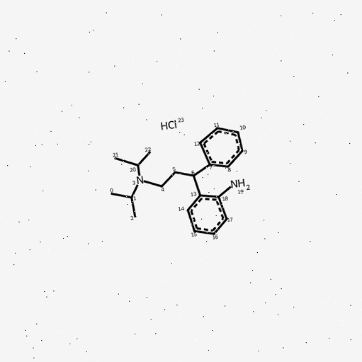 CC(C)N(CCC(c1ccccc1)c1ccccc1N)C(C)C.Cl